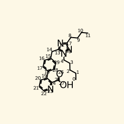 CCCCCn1nc(CCCC)nc1Cc1ccc(-c2cccnc2C(=O)O)cc1